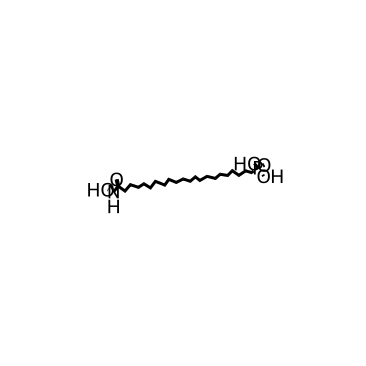 O=C(CCCCCCCCCCCCCCCCCCCCCP(=O)(O)O)NO